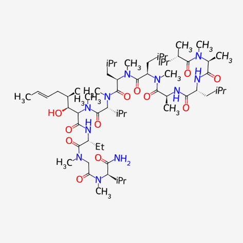 C/C=C/C[C@@H](C)[C@H](O)C(C(=O)N[C@H](CC)C(=O)N(C)CC(=O)N(C)[C@@H](C(N)=O)C(C)C)N(C)C(=O)[C@@H](C(C)C)N(C)C(=O)[C@@H](CC(C)C)N(C)C(=O)[C@@H](CC(C)C)N(C)C(=O)[C@H](C)NC(=O)[C@@H](CC(C)C)NC(=O)[C@H](C)N(C)C(=O)[C@@H](C)C(C)C